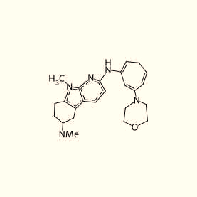 CNC1CCc2c(c3ccc(NC4=CCC=CC(N5CCOCC5)=C4)nc3n2C)C1